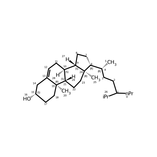 CCCC(CC[C@@H](C)[C@H]1CC[C@H]2[C@@H]3CC=C4C[C@@H](O)CC[C@]4(C)[C@H]3CC[C@]12C)C(C)C